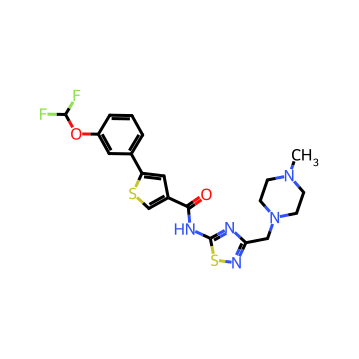 CN1CCN(Cc2nsc(NC(=O)c3csc(-c4cccc(OC(F)F)c4)c3)n2)CC1